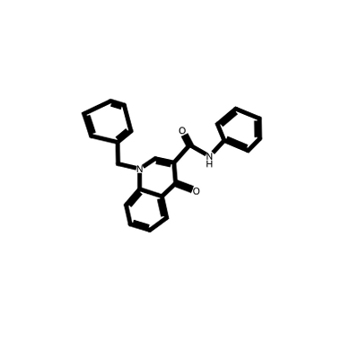 O=C(Nc1ccccc1)c1cn(Cc2ccccc2)c2ccccc2c1=O